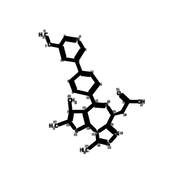 COc1cncc(-c2ccc(C3=N[C@@H](CC(=O)O)c4nnc(C)n4-c4sc(C)c(C)c43)cc2)c1